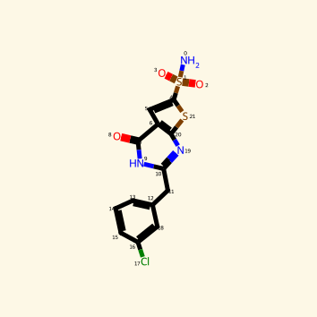 NS(=O)(=O)c1cc2c(=O)[nH]c(Cc3cccc(Cl)c3)nc2s1